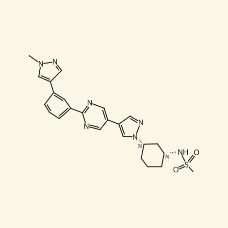 Cn1cc(-c2cccc(-c3ncc(-c4cnn([C@H]5CCC[C@@H](NS(C)(=O)=O)C5)c4)cn3)c2)cn1